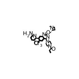 C=CC(=O)N1CCN(c2nc(OC[C@H]3CCN3C)nc3cc(-c4nc(N)ccc4C(F)(F)F)c(Cl)cc23)CC1